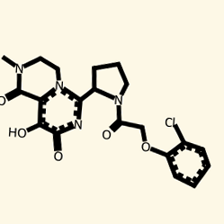 CN1CCn2c(C3CCCN3C(=O)COc3ccccc3Cl)nc(=O)c(O)c2C1=O